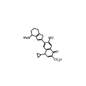 CNC1CCCc2sc(-c3cc4c(cc3C)c(=O)c(C(=O)O)cn4C3CC3)cc21.Cl